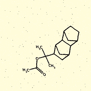 CC(=O)OC(C)(C)C1CC2CC1C1C3CCC(C3)C21